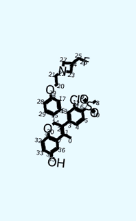 CC1=C(c2ccc(S(C)(=O)=O)c(Cl)c2)[C@@H](c2ccc(OCCN3CC(CF)C3)cc2)Oc2ccc(O)cc21